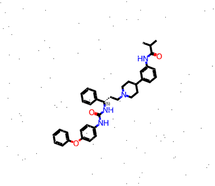 CC(C)C(=O)Nc1cccc(C2CCN(CC[C@H](NC(=O)Nc3ccc(Oc4ccccc4)cc3)c3ccccc3)CC2)c1